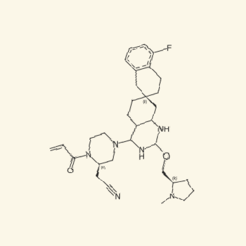 C=CC(=O)N1CCN(C2NC(OC[C@H]3CCCN3C)NC3C[C@@]4(CCc5c(F)cccc5C4)CCC32)C[C@H]1CC#N